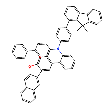 CC1(C)c2ccccc2-c2cccc(-c3ccc(N(c4ccc(-c5ccccc5)cc4)c4ccccc4-c4ccc5oc6cc7ccccc7cc6c5c4)cc3)c21